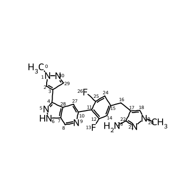 Cn1cc(-c2n[nH]c3cnc(-c4c(F)cc(Cc5cn(C)nc5N)cc4F)cc23)cn1